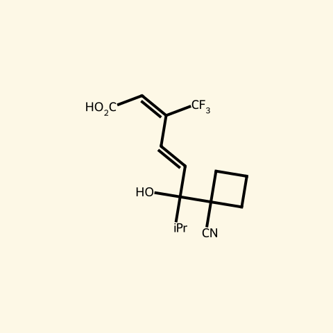 CC(C)C(O)(/C=C/C(=C\C(=O)O)C(F)(F)F)C1(C#N)CCC1